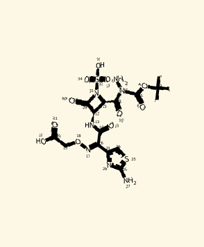 CC(C)(C)OC(=O)N(N)C(=O)[C@H]1[C@@H](NC(=O)/C(=N\OCC(=O)O)c2csc(N)n2)C(=O)N1S(=O)(=O)O